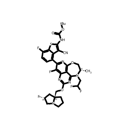 C[C@H]1COc2nc(-c3ccc(F)c4sc(NC(=O)OC(C)(C)C)c(C#N)c34)c(F)c3nc(OC[C@@]45CCCN4C[C@H](F)C5)nc(c23)N1CC(F)F